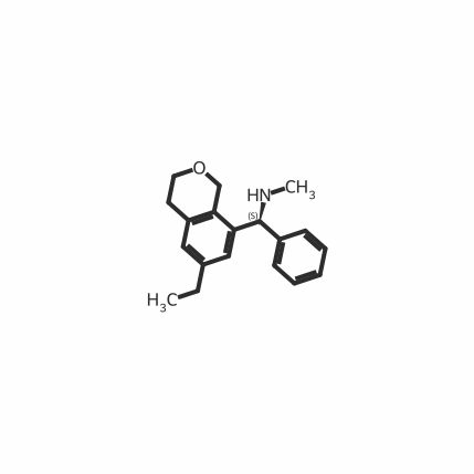 CCc1cc2c(c([C@@H](NC)c3ccccc3)c1)COCC2